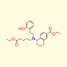 CCOC(=O)CCCCN(CCc1ccccc1O)C1CCCc2cc(C(=O)OCC)ccc21